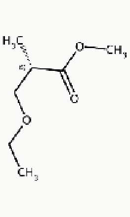 CCOC[C@H](C)C(=O)OC